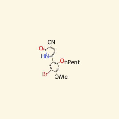 CCCCCOc1cc(OC)c(Br)cc1-c1ccc(C#N)c(=O)[nH]1